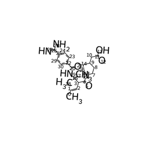 CC=CC(C(=O)N1CCC(CC(=O)O)CC1)C(C)(C)NC(=O)c1ccc(C(=N)N)cc1